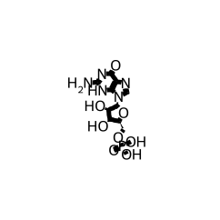 Nc1nc(=O)c2ncn([C@@H]3O[C@H](COP(=O)(O)O)[C@H](O)[C@H]3O)c2[nH]1